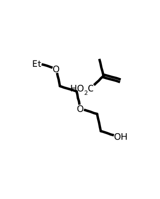 C=C(C)C(=O)O.CCOCCOCCO